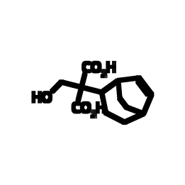 O=C(O)C(CO)(C(=O)O)C1CCC2C=CC1CC2